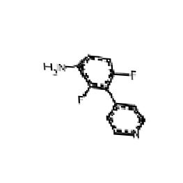 Nc1ccc(F)c(-c2ccncc2)c1F